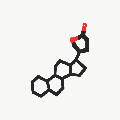 O=c1ccc(C2CCC3C2CCC2C4CCCCC4CCC23)co1